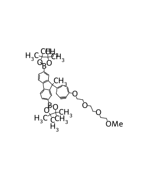 COCCOCCOCCOC1=CC=C(C2(C)c3cc(B4OC(C)(C)C(C)(C)O4)ccc3-c3ccc(B4OC(C)(C)C(C)(C)O4)cc32)CC#C1